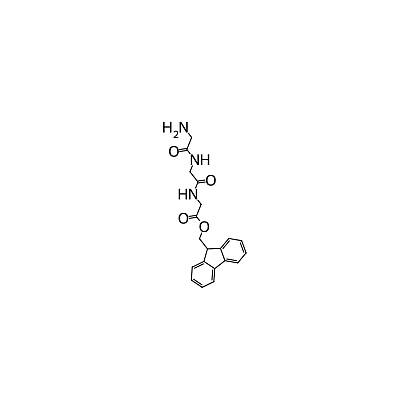 NCC(=O)NCC(=O)NCC(=O)OCC1c2ccccc2-c2ccccc21